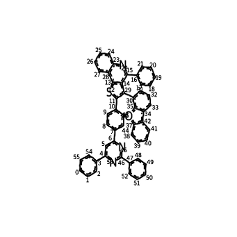 c1ccc(-c2cc(-c3ccc(-c4sc5c(c(-c6ccccc6)nc6ccccc65)c4-c4cccc5c4oc4ccccc45)cc3)nc(-c3ccccc3)n2)cc1